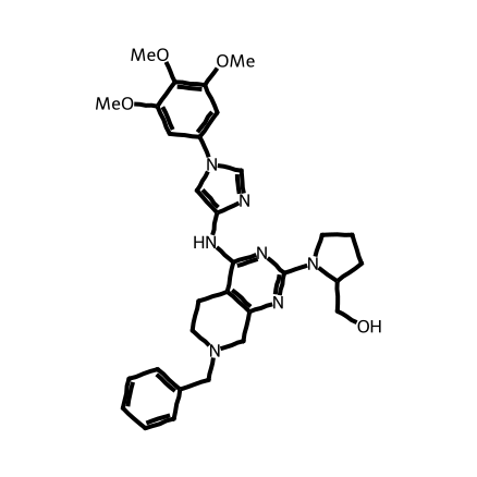 COc1cc(-n2cnc(Nc3nc(N4CCCC4CO)nc4c3CCN(Cc3ccccc3)C4)c2)cc(OC)c1OC